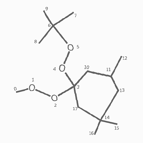 COOC1(OOC(C)(C)C)CC(C)CC(C)(C)C1